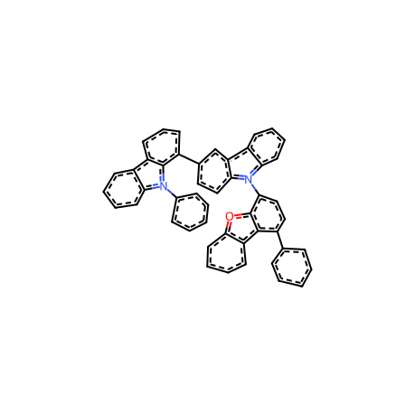 c1ccc(-c2ccc(-n3c4ccccc4c4cc(-c5cccc6c7ccccc7n(-c7ccccc7)c56)ccc43)c3oc4ccccc4c23)cc1